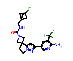 Nc1ncc(-c2cc3n(n2)CCC32CN(C(=O)NCC34CC(F)(C3)C4)C2)cc1C(F)(F)F